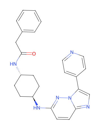 O=C(Cc1ccccc1)N[C@H]1CC[C@H](Nc2ccc3ncc(-c4ccncc4)n3n2)CC1